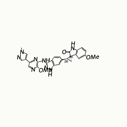 COc1ccc2c(c1)[C@]1(C[C@H]1c1ccc3c(Nc4nc(-c5cnn(C)c5)cnc4OC)n[nH]c3c1)C(=O)N2